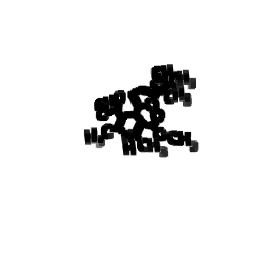 COC(=O)C1=C(C)NC(C)=C(C(=O)OC)C1c1ccc([Si](C)(C)C)o1